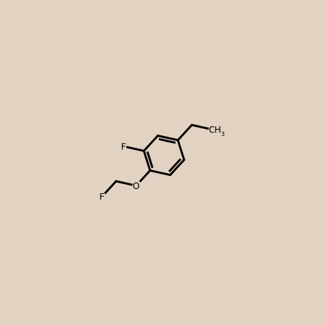 CCc1ccc(OCF)c(F)c1